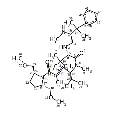 CN[C@H](CN[C@H](C(=O)N(C)[C@H](/C=C(\C)C(=O)N1[C@H](COC)CC[C@H]1COC)C(C)C)C(C)(C)C)C(C)(C)c1ccccc1